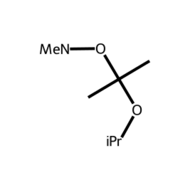 CNOC(C)(C)OC(C)C